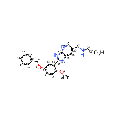 CC(C)Oc1ccc(OCc2ccccc2)cc1-c1nc2cc(CNCC(=O)O)cnc2[nH]1